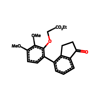 CCOC(=O)COc1c(-c2cccc3c2CCC3=O)ccc(OC)c1OC